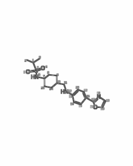 CC(C)S(=O)(=O)NC1CCC(CNc2ccc(-c3ncco3)cc2)CC1